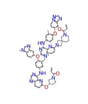 C=CC(=O)N1CCC(Oc2ccc3ncnc(Nc4ccc(Oc5ccc6c(c5)ncn6C)c(C[n+]5cnc(Nc6ccc(Oc7ccn8ncnc8c7)c(C)c6)c6nc(N7CC8(CCCN(C(=O)C=C)C8)C7)ccc65)c4)c3n2)C1